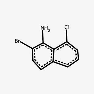 Nc1c(Br)ccc2cccc(Cl)c12